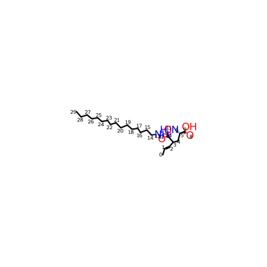 CC=CC(C[C@H](N)C(=O)O)C(=O)ONCCCCCCCCCCCCCCCC